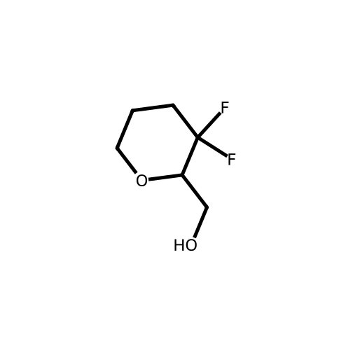 OCC1OCCCC1(F)F